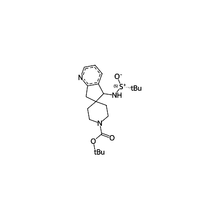 CC(C)(C)OC(=O)N1CCC2(CC1)Cc1ncccc1C2N[S@+]([O-])C(C)(C)C